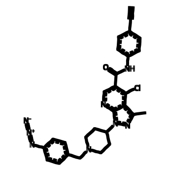 C#Cc1ccc(NC(=O)c2cnc3c(c(C)nn3C3CCN(Cc4ccc(N=[N+]=[N-])cc4)CC3)c2Cl)cc1